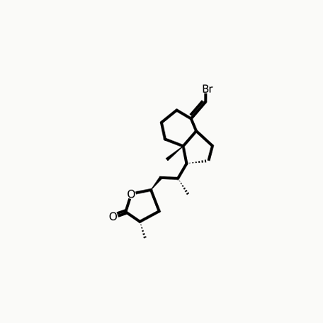 C[C@H](C[C@H]1C[C@H](C)C(=O)O1)[C@H]1CCC2C(=CBr)CCC[C@]21C